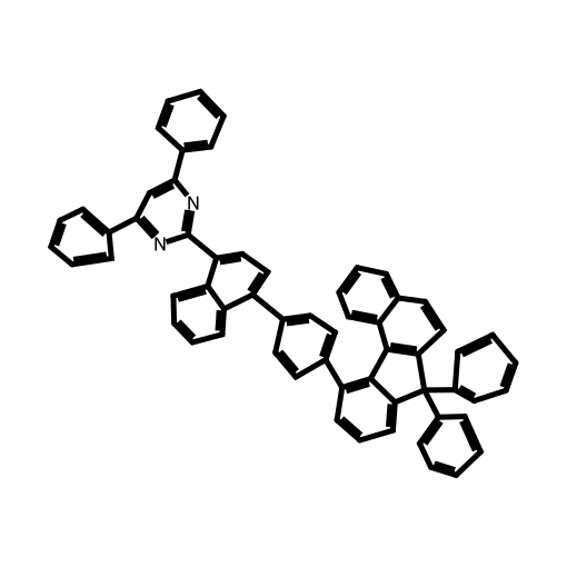 c1ccc(-c2cc(-c3ccccc3)nc(-c3ccc(-c4ccc(-c5cccc6c5-c5c(ccc7ccccc57)C6(c5ccccc5)c5ccccc5)cc4)c4ccccc34)n2)cc1